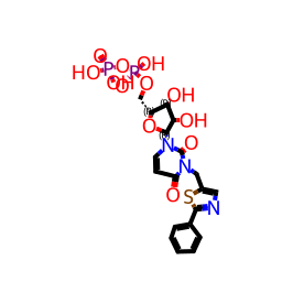 O=c1ccn([C@@H]2O[C@H](COP(=O)(O)OP(=O)(O)O)[C@H](O)C2O)c(=O)n1Cc1cnc(-c2ccccc2)s1